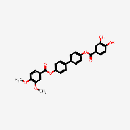 COc1ccc(C(=O)Oc2ccc(-c3ccc(OC(=O)c4ccc(O)c(O)c4)cc3)cc2)cc1OC